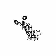 C[C@@H](O[C@@H]1CN(Cc2nn(P(OCc3ccccc3)OCc3ccccc3)c(=O)[nH]2)CCO1)c1cc(C(F)(F)F)cc(C(F)(F)F)c1